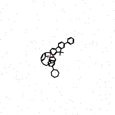 CC1(C)c2cc(-c3ccccc3)ccc2-c2ccc(N(c3ccc(C4CCCCCC4)cc3)c3cc4ccc3CCc3ccc(cc3)CC4)cc21